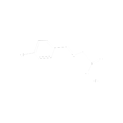 CC(C)(C)OC(=O)CN=Cc1ccc(Cl)cc1